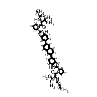 COO/C=N/[C@@H](C(=O)N1CCC[C@H]1c1nc2cc(-c3ccc4cc(-c5ccc6[nH]c([C@@H]7CCCN7C(=O)[C@H](NC(=O)OC)C(C)C)nc6c5)ccc4c3)ccc2[nH]1)C(C)C